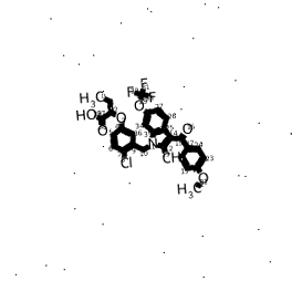 CCC(Oc1ccc(Cl)c(Cn2c(C)c(C(=O)c3ccc(OC)cc3)c3ccc(OC(F)(F)F)cc32)c1)C(=O)O